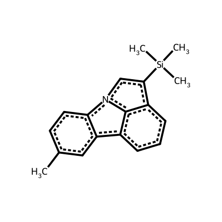 Cc1ccc2c(c1)c1cccc3c([Si](C)(C)C)cn2c31